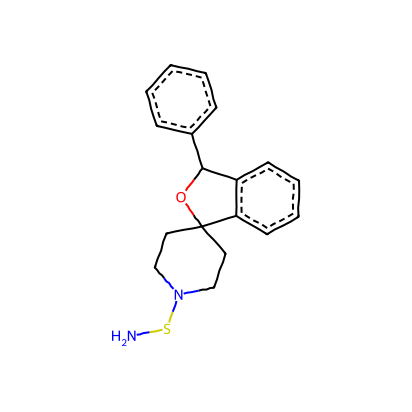 NSN1CCC2(CC1)OC(c1ccccc1)c1ccccc12